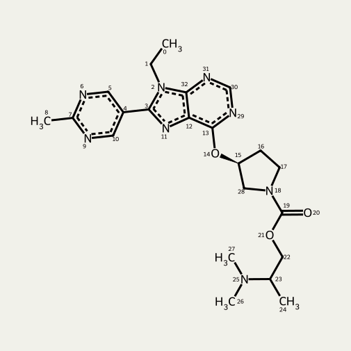 CCn1c(-c2cnc(C)nc2)nc2c(O[C@H]3CCN(C(=O)OCC(C)N(C)C)C3)ncnc21